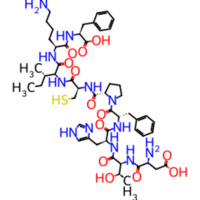 CC[C@H](C)[C@H](NC(=O)[C@H](CS)NC(=O)[C@@H]1CCCN1C(=O)[C@H](Cc1ccccc1)NC(=O)[C@H](Cc1c[nH]cn1)NC(=O)[C@@H](NC(=O)[C@@H](N)CC(=O)O)[C@@H](C)O)C(=O)N[C@@H](CCCCN)C(=O)N[C@@H](Cc1ccccc1)C(=O)O